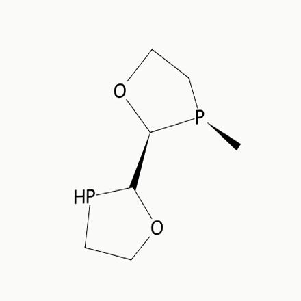 C[P@]1CCO[C@@H]1C1OCCP1